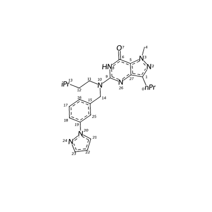 CCCc1nn(C)c2c(=O)[nH]c(N(CCC(C)C)Cc3cccc(-n4cccn4)c3)nc12